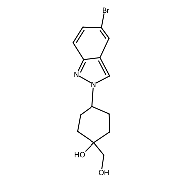 OCC1(O)CCC(n2cc3cc(Br)ccc3n2)CC1